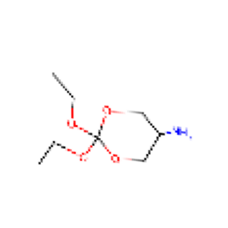 CCOC1(OCC)OCC(N)CO1